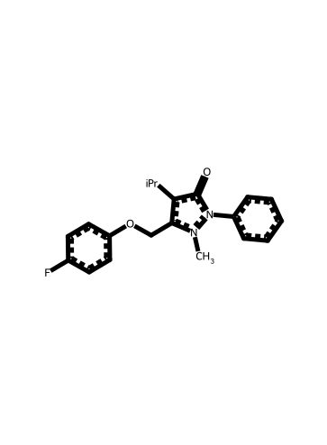 CC(C)c1c(COc2ccc(F)cc2)n(C)n(-c2ccccc2)c1=O